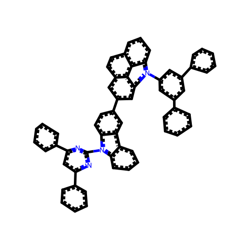 c1ccc(-c2cc(-c3ccccc3)cc(-n3c4cccc5ccc6cc(-c7ccc8c(c7)c7ccccc7n8-c7nc(-c8ccccc8)cc(-c8ccccc8)n7)cc3c6c54)c2)cc1